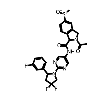 CC(=O)N1Cc2cc([S+](C)[O-])ccc2C1C(=O)Nc1cnc(N2CC(F)(F)CC2c2cccc(F)c2)nc1